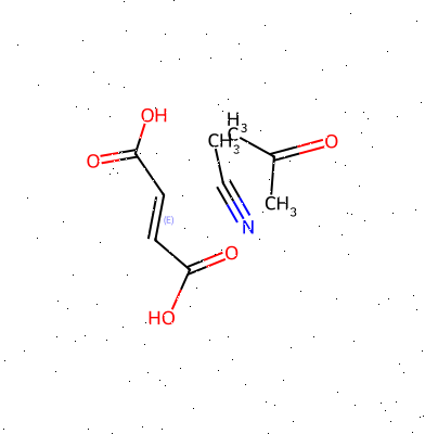 CC#N.CC(C)=O.O=C(O)/C=C/C(=O)O